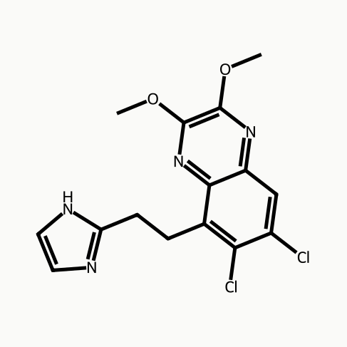 COc1nc2cc(Cl)c(Cl)c(CCc3ncc[nH]3)c2nc1OC